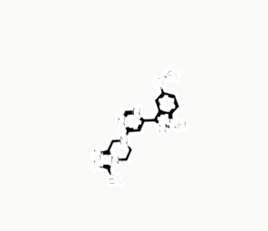 CCc1nnc2n1CCN(c1cc(-c3n[nH]c4ccc(OC(C)C)cc34)ncn1)C2